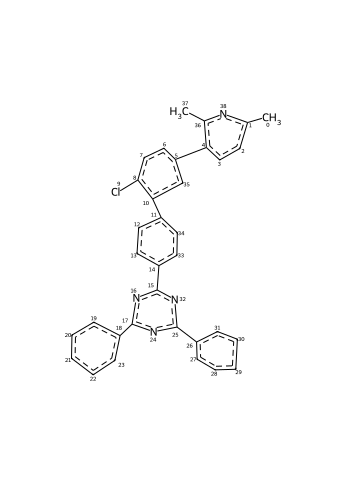 Cc1ccc(-c2ccc(Cl)c(-c3ccc(-c4nc(-c5ccccc5)nc(-c5ccccc5)n4)cc3)c2)c(C)n1